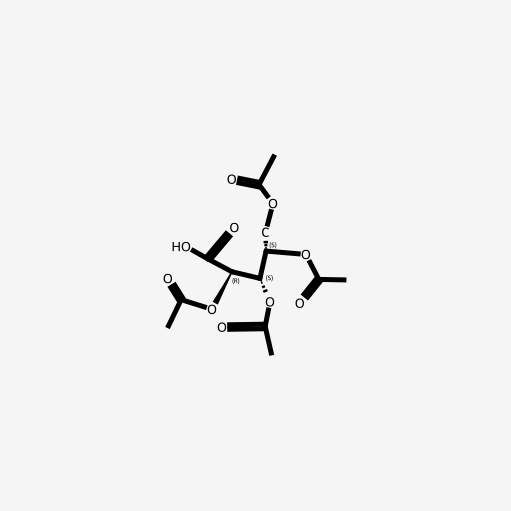 CC(=O)OC[C@H](OC(C)=O)[C@H](OC(C)=O)[C@@H](OC(C)=O)C(=O)O